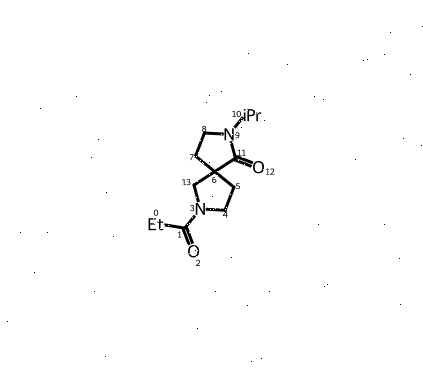 CCC(=O)N1CCC2(CCN(C(C)C)C2=O)C1